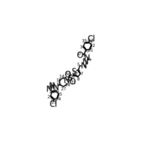 O=C(N=[N+]=NCc1ccc(S(=O)(=O)N2CCC(n3nnc4cc(Cl)ccc43)CC2)s1)c1ccc(Cl)cc1